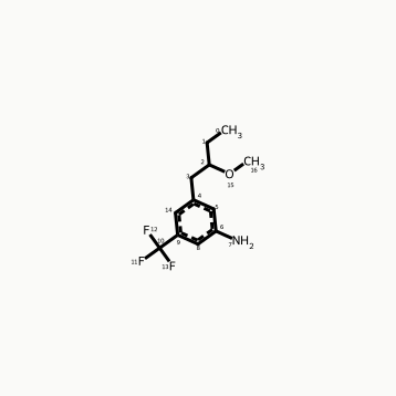 CCC(Cc1cc(N)cc(C(F)(F)F)c1)OC